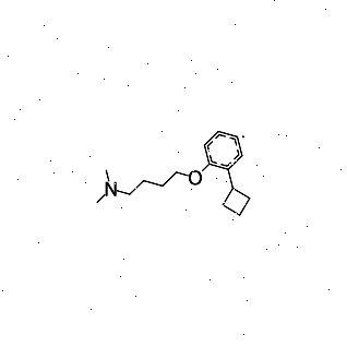 CN(C)CCCCOc1cc[c]cc1C1CCC1